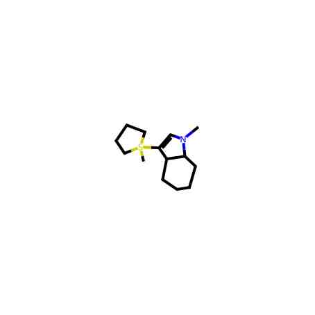 CN1C=C(S2(C)CCCC2)C2CCCCC21